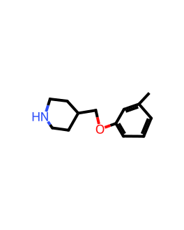 Cc1cccc(OCC2CCNCC2)c1